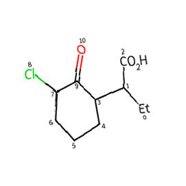 CCC(C(=O)O)C1CCCC(Cl)C1=O